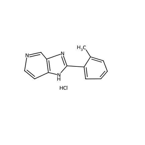 Cc1ccccc1-c1nc2cnccc2[nH]1.Cl